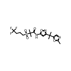 Cc1ncc(C(C)(C)c2cc(NC(=O)C(C)(C)S(=O)(=O)CCCC(F)(F)F)on2)o1